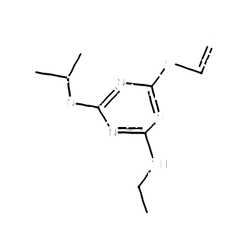 CCNc1nc(NC(C)C)nc(OC=S)n1